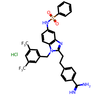 Cl.N=C(N)c1ccc(CCc2nc3cc(NS(=O)(=O)c4ccccc4)ccc3n2Cc2cc(C(F)(F)F)cc(C(F)(F)F)c2)cc1